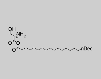 CCCCCCCCCCCCCCCCCCCCCCCCCC(=O)OC(=O)[C@@H](N)CO